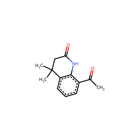 CC(=O)c1cccc2c1NC(=O)CC2(C)C